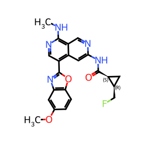 CNc1ncc(-c2nc3cc(OC)ccc3o2)c2cc(NC(=O)[C@H]3C[C@H]3CF)ncc12